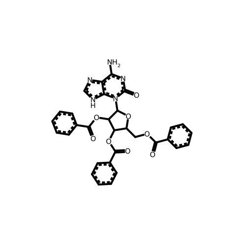 Nc1nc(=O)n(C2OC(COC(=O)c3ccccc3)C(OC(=O)c3ccccc3)C2OC(=O)c2ccccc2)c2[nH]cnc12